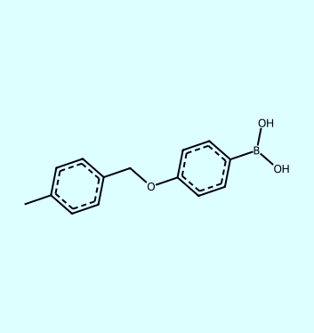 Cc1ccc(COc2ccc(B(O)O)cc2)cc1